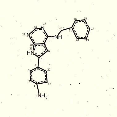 Nc1ccc(-c2cc3c(NCc4ccccc4)ncnc3[nH]2)cc1